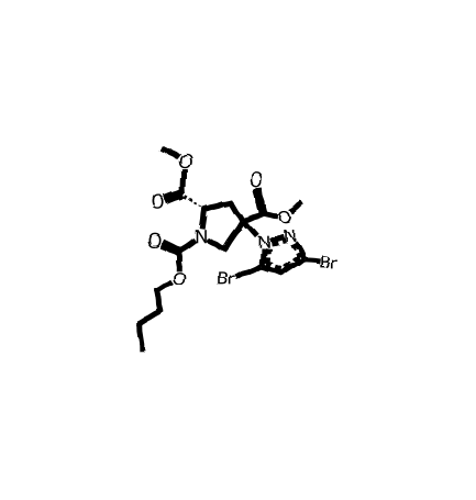 CCCCOC(=O)N1CC(C(=O)OC)(n2nc(Br)cc2Br)C[C@H]1C(=O)OC